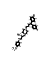 O=[N+]([O-])c1ccc(OCC(O)CN2CCN(CCCC(c3ccc(F)cc3)c3ccc(F)cc3)CC2)cc1